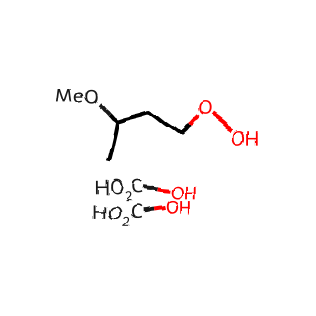 COC(C)CCOO.O=C(O)O.O=C(O)O